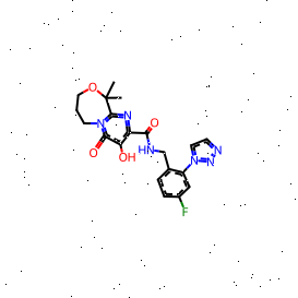 CC1(C)OCCCn2c1nc(C(=O)NCc1ccc(F)cc1-n1ccnn1)c(O)c2=O